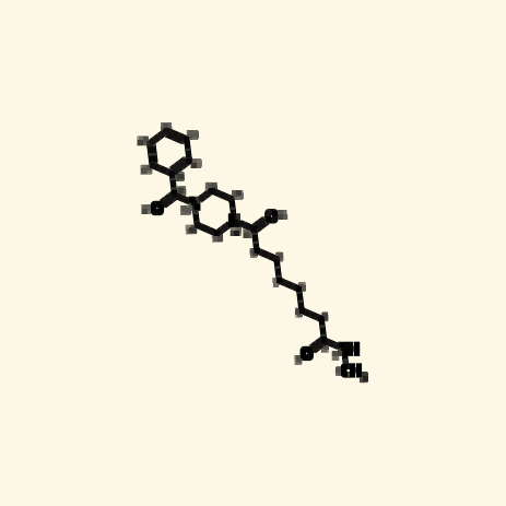 CNC(=O)CCCCCCC(=O)N1CCN(C(=O)c2ccccc2)CC1